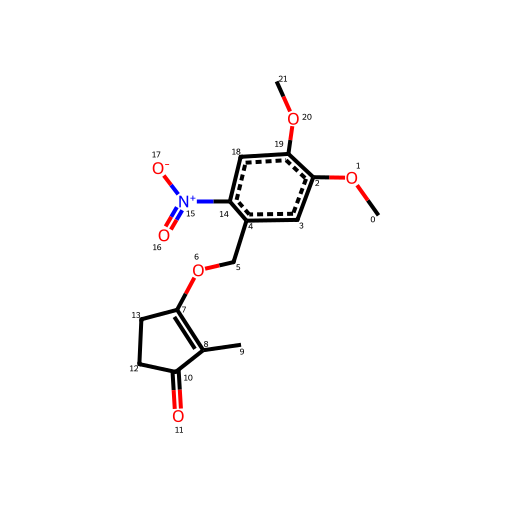 COc1cc(COC2=C(C)C(=O)CC2)c([N+](=O)[O-])cc1OC